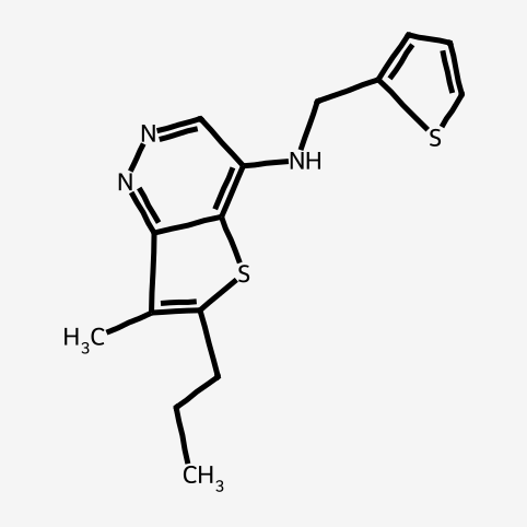 CCCc1sc2c(NCc3cccs3)cnnc2c1C